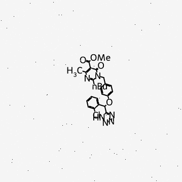 CCCCc1nc(C)c(C(=O)OC)c(=O)n1Cc1ccc(OC(c2nnn[nH]2)c2ccccc2Cl)cc1